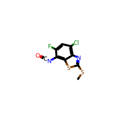 CSc1nc2c(Cl)cc(F)c(N=C=O)c2s1